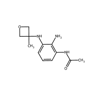 CC(=O)Nc1cccc(NC2(C)COC2)c1N